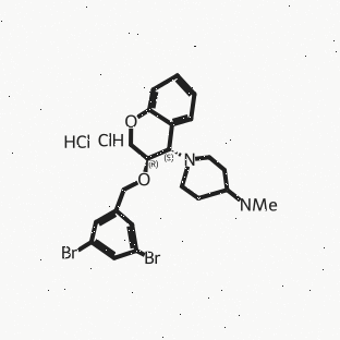 CNC1CCN([C@H]2c3ccccc3OC[C@@H]2OCc2cc(Br)cc(Br)c2)CC1.Cl.Cl